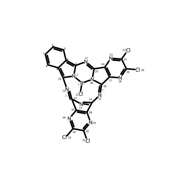 ClB1n2c3c4ccccc4c2/N=C2N=C(/N=c4/c5nc(Cl)c(Cl)nc5c(n41)=N3)c1nc(Cl)c(Cl)nc1\2